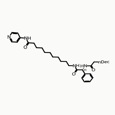 CCCCCCCCCCCC(=O)N[C@@H](C(=O)NCCCCCCCCCCC(=O)Nc1ccncc1)c1ccccc1